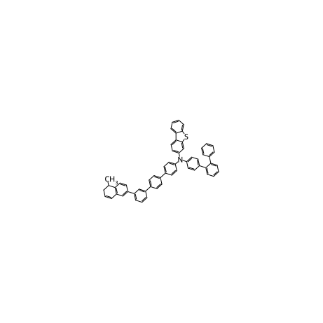 CC1CC=Cc2cc(-c3cccc(-c4ccc(-c5ccc(N(c6ccc(-c7ccccc7-c7ccccc7)cc6)c6ccc7c(c6)sc6ccccc67)cc5)cc4)c3)ccc21